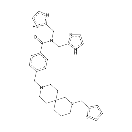 O=C(c1ccc(CN2CCC3(CCCN(Cc4cccs4)C3)CC2)cc1)N(Cc1ncc[nH]1)Cc1ncc[nH]1